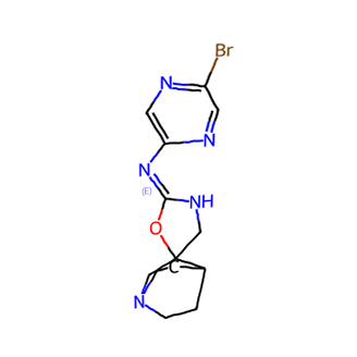 Brc1cnc(/N=C2\NCC3(CN4CCC3CC4)O2)cn1